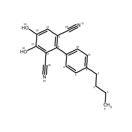 CCCCc1ccc(-c2c(C#N)cc(O)c(O)c2C#N)cc1